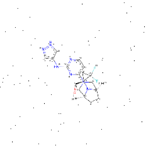 O=C[C@@]1(N2[C@@H]3CC[C@H]2CN(c2ccnc(Nc4cn[nH]c4)n2)C3)CC1(F)F